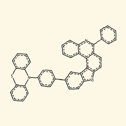 c1ccc(-c2nc3ccccc3c3c2ccc2oc4ccc(-c5ccc(N6c7ccccc7Sc7ccccc76)cc5)cc4c23)cc1